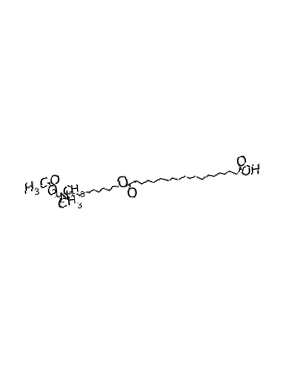 CC(=O)OCC[N+](C)(C)CCCCCCCCCCCOC(=O)CCCCCCCCCCCCCCCCCCC(=O)O